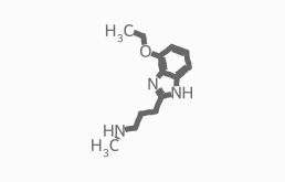 CCOc1cccc2[nH]c(CCCNC)nc12